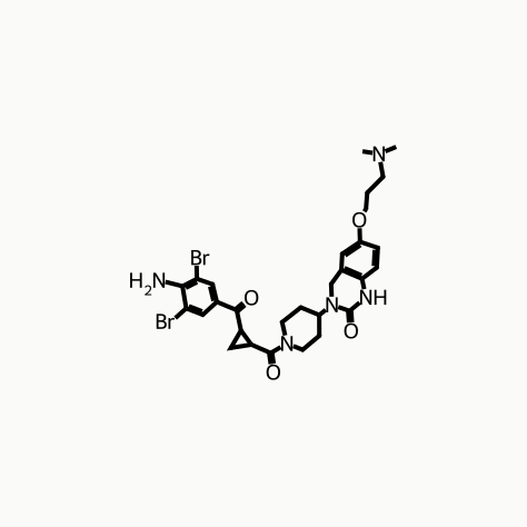 CN(C)CCCOc1ccc2c(c1)CN(C1CCN(C(=O)C3CC3C(=O)c3cc(Br)c(N)c(Br)c3)CC1)C(=O)N2